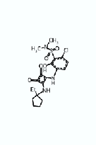 CCC1(Nc2c(Nc3ccc(Cl)c(S(=O)(=O)N(C)C)c3O)c(=O)c2=O)CCCC1